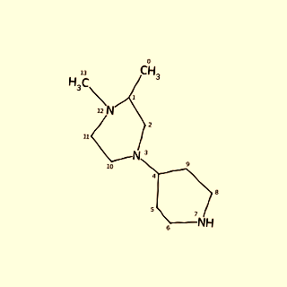 CC1CN(C2CCNCC2)CCN1C